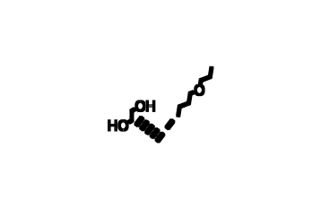 C=C.C=C.C=C.C=C.C=C.C=C.CCCCOCCC.OCCO